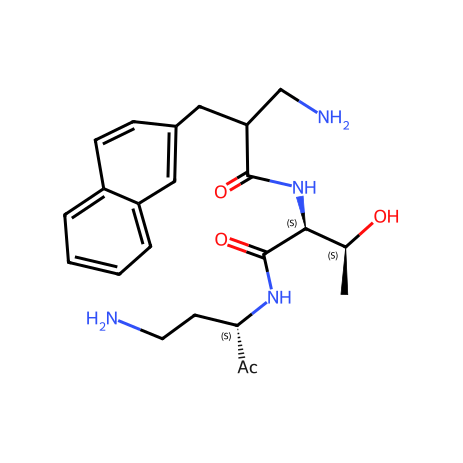 CC(=O)[C@H](CCN)NC(=O)[C@@H](NC(=O)C(CN)Cc1ccc2ccccc2c1)[C@H](C)O